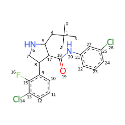 CC(C)(C)CC1NCC(c2cccc(Cl)c2F)C1C(=O)Nc1cccc(Cl)c1